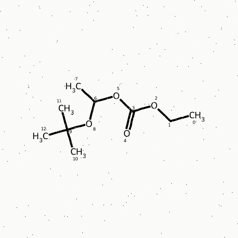 CCOC(=O)OC(C)OC(C)(C)C